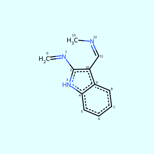 C=Nc1[nH]c2ccccc2c1/C=N\C